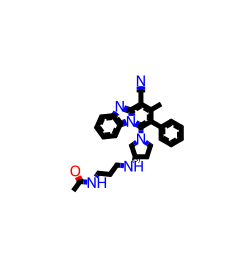 CC(=O)NCCCN[C@H]1CCN(c2c(-c3ccccc3)c(C)c(C#N)c3nc4ccccc4n23)C1